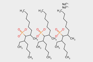 CCCCCCC(C)C(C(CC)CCCC)P(=O)([O-])[O-].CCCCCCC(C)C(C(CC)CCCC)P(=O)([O-])[O-].CCCCCCC(C)C(C(CC)CCCC)P(=O)([O-])[O-].[Nd+3].[Nd+3]